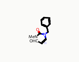 CNC(=O)N(/C=C\C=O)Cc1ccccc1